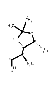 C[C@H]1OC(C)(C)O[C@H]1[C@@H](N)CO